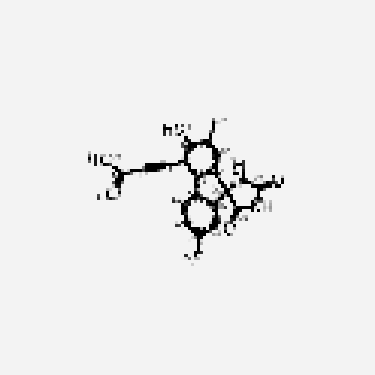 O=C(O)C#Cc1c(O)c(F)cc2c1-c1ccc(F)cc1C21NC(=O)NC1=O